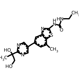 CCNC(=O)Nc1nc2cc(-c3cnc(C(C)(O)CO)nc3)cc(C)c2s1